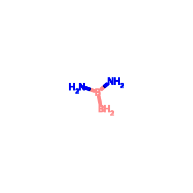 BB(N)N